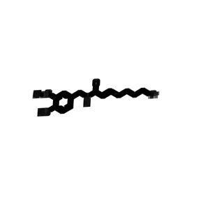 COc1cc(CNC(=O)C=CCCCCC(C)C)ccc1O